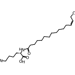 CC/C=C\CCCCCCCCCCCC(=O)N[C@H](CCCCN)C(=O)O